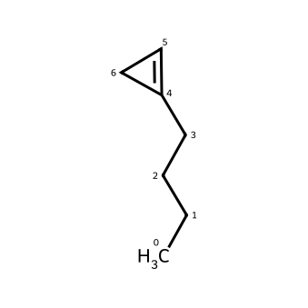 CCCCC1=CC1